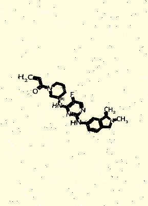 C=CC(=O)N1CCC[C@@H](Nc2nc(Nc3ccc4c(c3)C(=C)N(C)C4)ncc2F)C1